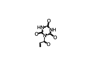 C=CC(=O)n1c(=O)[nH]c(=O)[nH]c1=O